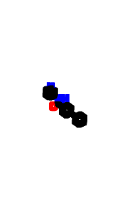 O=C(NC1CN2CCC1CC2)c1ccc(-c2ccccc2)cc1